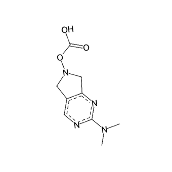 CN(C)c1ncc2c(n1)CN(OC(=O)O)C2